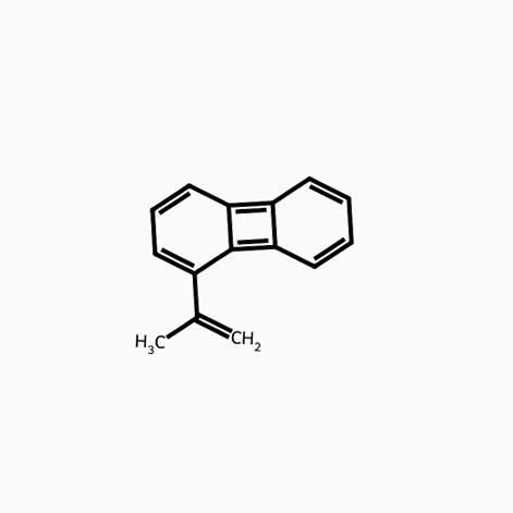 C=C(C)c1cccc2c1=c1ccccc1=2